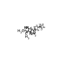 Cc1nnc2sc(C(=O)N3CCC(N4CCCC4)C3)c(N)c2c1C